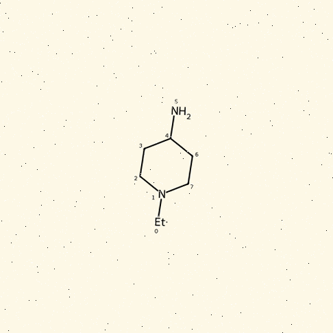 C[CH]N1CCC(N)CC1